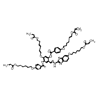 C=CC(=O)OCCCCCCOc1ccc(C(=O)Oc2cc(OCCCCCCOC(=O)C=C)c(OC(=O)c3ccc(OCCCCCCOC(=O)C=C)cc3)cc2/C=N/Nc2nc3ccc(OCCCCCCOC(=O)C=C)cc3s2)cc1